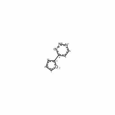 c1coc(-c2ccnnn2)c1